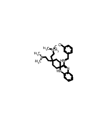 CN(C)CCC1(CCN(C)C)CCC2(CC1)Nc1ccccc1N=C2NCc1cccc(Cl)c1